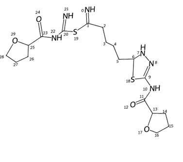 N=C(CCCCC1NN=C(NC(=O)C2CCCO2)S1)SC(=N)NC(=O)C1CCCO1